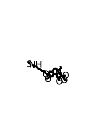 CCC1CCc2cc(OCCCCCCNSC)c(OC)cc2-c2cc(=O)c(C(=O)OC)cn21